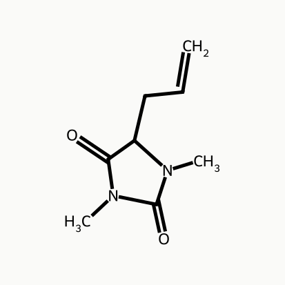 C=CCC1C(=O)N(C)C(=O)N1C